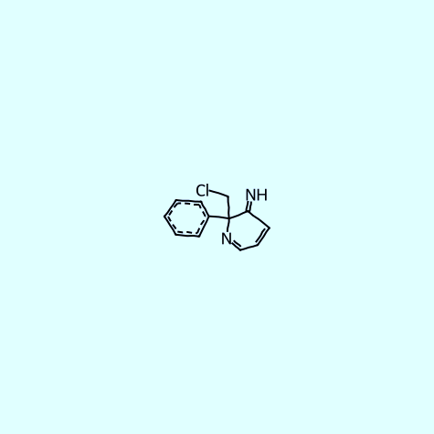 N=C1C=CC=NC1(CCl)c1ccccc1